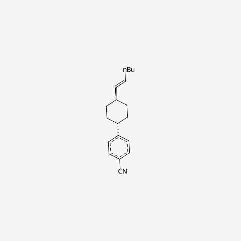 CCCCC=C[C@H]1CC[C@H](c2ccc(C#N)cc2)CC1